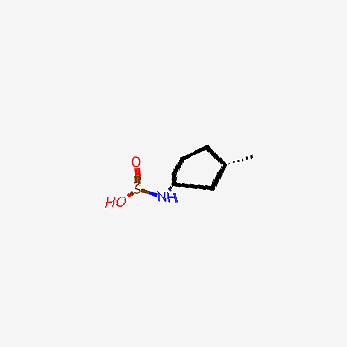 C[C@H]1CC[C@@H](NS(=O)O)C1